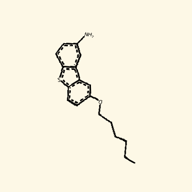 CCCCCCOc1ccc2sc3ccc(N)cc3c2c1